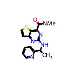 CNC(=O)c1nc(NC(C)c2ccccn2)nc2ccsc12